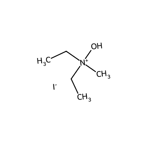 CC[N+](C)(O)CC.[I-]